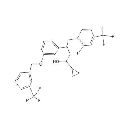 OC(CN(Cc1ccc(C(F)(F)F)cc1F)c1cccc(OCc2cccc(C(F)(F)F)c2)c1)C1CC1